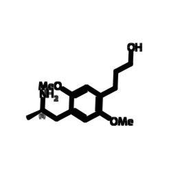 COc1cc(C[C@@H](C)N)c(OC)cc1CCCO